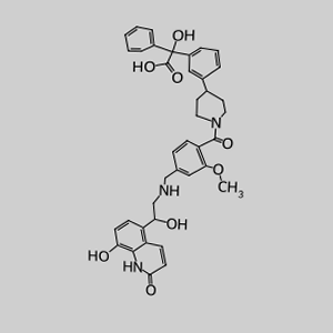 COc1cc(CNCC(O)c2ccc(O)c3[nH]c(=O)ccc23)ccc1C(=O)N1CCC(c2cccc(C(O)(C(=O)O)c3ccccc3)c2)CC1